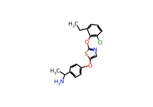 CCc1cccc(Cl)c1Oc1ncc(Oc2ccc(C(C)N)cc2)s1